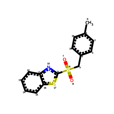 Cc1ccc(CS(=O)(=O)c2nc3ccccc3s2)cc1